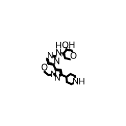 O[C@@H]1COCC[C@H]1Nc1ncc2c(n1)-c1cc(C3CCNCC3)nn1CCO2